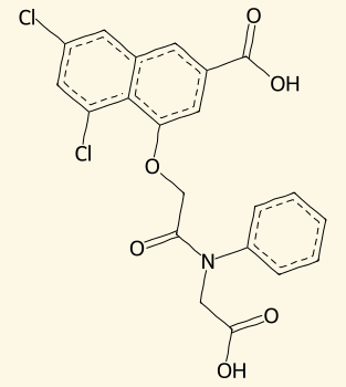 O=C(O)CN(C(=O)COc1cc(C(=O)O)cc2cc(Cl)cc(Cl)c12)c1ccccc1